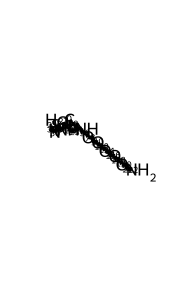 Cc1cc(NCCOCCOCCOCCOCCOCCN)ccc1C(=O)Nc1nccs1